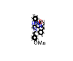 CNC[C@@H](CC1CCCCC1)N(C[C@@H]1CCCN1CCc1ccc(OC)cc1)C(=O)Nc1ccccc1